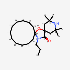 CCCN1C(=O)C2(CC(C)(C)NC(C)(C)C2)OC12CCCCCCCCCCC2